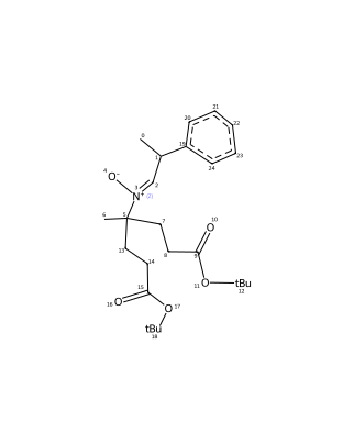 CC(/C=[N+](\[O-])C(C)(CCC(=O)OC(C)(C)C)CCC(=O)OC(C)(C)C)c1ccccc1